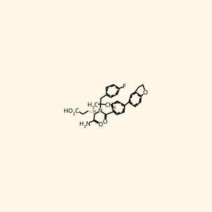 CC(C)(Cc1ccc(F)cc1)N(C(=O)c1ccc(-c2ccc3c(c2)CCO3)cc1)[C@@H](CCC(=O)O)C(N)=O